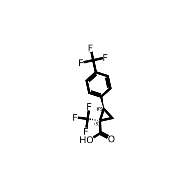 O=C(O)[C@]1(C(F)(F)F)C[C@@H]1c1ccc(C(F)(F)F)cc1